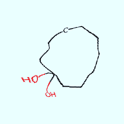 OC1(O)CCCCCCCCC1